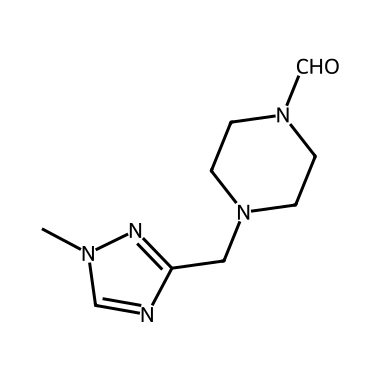 Cn1cnc(CN2CCN(C=O)CC2)n1